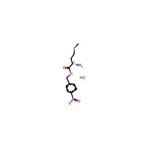 CSCC[C@H](N)C(=O)OCc1ccc([N+](=O)[O-])cc1.Cl